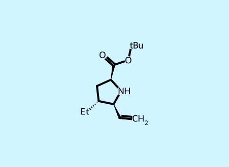 C=C[C@@H]1N[C@H](C(=O)OC(C)(C)C)C[C@H]1CC